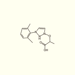 Cc1cccc(C)c1N1C=CN(OC(C)C(=O)O)N1